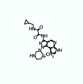 C[C@@H]1CCNC[C@@H]1n1nc(NC(=O)C(=O)NCC2CC2)c2cnc3[nH]ccc3c21